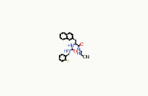 N#CCCNC(=O)C(Cc1ccc2ccccc2c1)NC(=O)NCc1ccccc1F